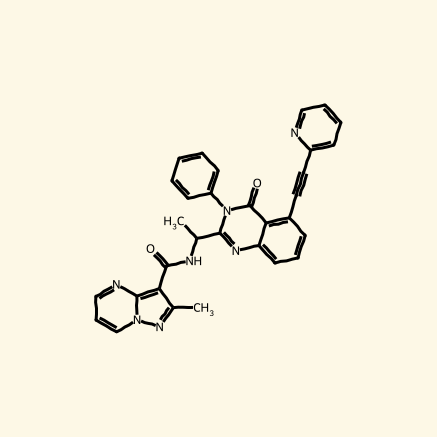 Cc1nn2cccnc2c1C(=O)NC(C)c1nc2cccc(C#Cc3ccccn3)c2c(=O)n1-c1ccccc1